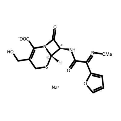 CON=C(C(=O)N[C@@H]1C(=O)N2C(C(=O)[O-])=C(CO)CS[C@@H]12)c1ccco1.[Na+]